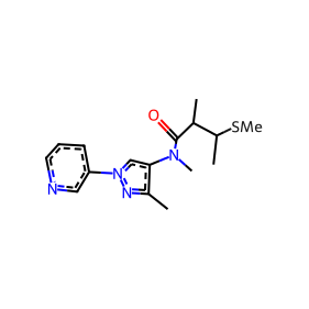 CSC(C)C(C)C(=O)N(C)c1cn(-c2cccnc2)nc1C